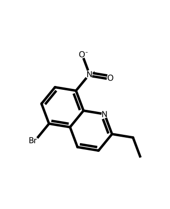 CCc1ccc2c(Br)ccc([N+](=O)[O-])c2n1